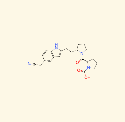 N#CCc1ccc2[nH]c(CC[C@@H]3CCCN3C(=O)[C@H]3CCCN3C(=O)O)cc2c1